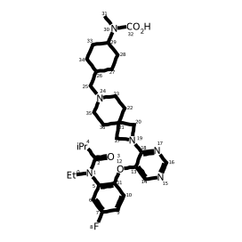 CCN(C(=O)C(C)C)c1cc(F)ccc1Oc1cncnc1N1CC2(CCN(CC3CCC(N(C)C(=O)O)CC3)CC2)C1